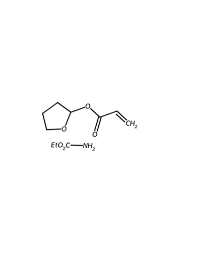 C=CC(=O)OC1CCCO1.CCOC(N)=O